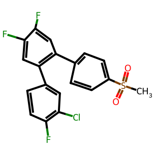 CS(=O)(=O)c1ccc(-c2cc(F)c(F)cc2-c2ccc(F)c(Cl)c2)cc1